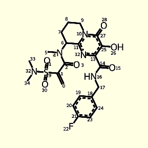 C=C(C(=O)N(C)C1CCCn2c1nc(C(=O)NCc1ccc(F)cc1)c(O)c2=O)S(=O)(=O)N(C)C